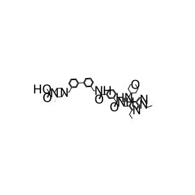 CCc1nc2c(cnn2CC)c(NC2CCOCC2)c1CNC(=O)c1cccc(C(=O)NCc2cccc(-c3cccc(CN4CCN(C(=O)O)[C@@H](C)C4)c3)c2)c1